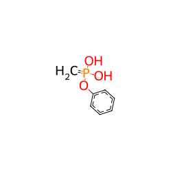 C=P(O)(O)Oc1ccccc1